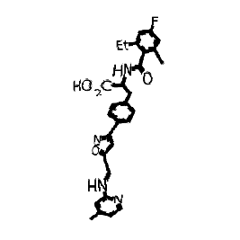 CCc1cc(F)cc(C)c1C(=O)NC(Cc1ccc(-c2cc(CNc3cc(C)ccn3)on2)cc1)C(=O)O